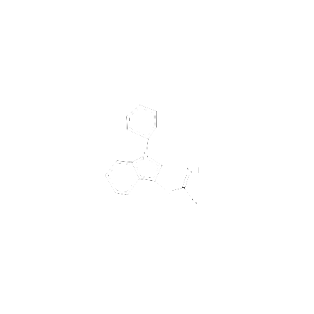 N=C(N)Sc1cn(-c2ccccc2)c2ccccc12